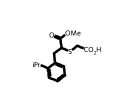 COC(=O)C(Cc1ccccc1C(C)C)SCC(=O)O